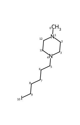 CN1CCN(CCCCCI)CC1